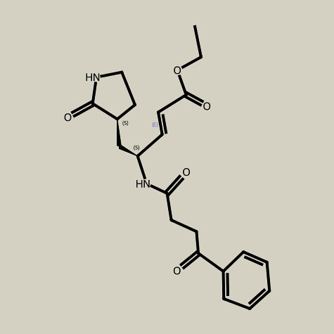 CCOC(=O)/C=C/[C@H](C[C@@H]1CCNC1=O)NC(=O)CCC(=O)c1ccccc1